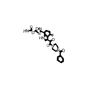 CNC(=O)Oc1nc(-c2ccc(F)c3c(C(=O)C(=O)N4CCN(C(=O)c5ccccc5)CC4)c[nH]c23)no1